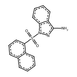 Nc1nn(S(=O)(=O)c2cccc3ccccc23)c2ccccc12